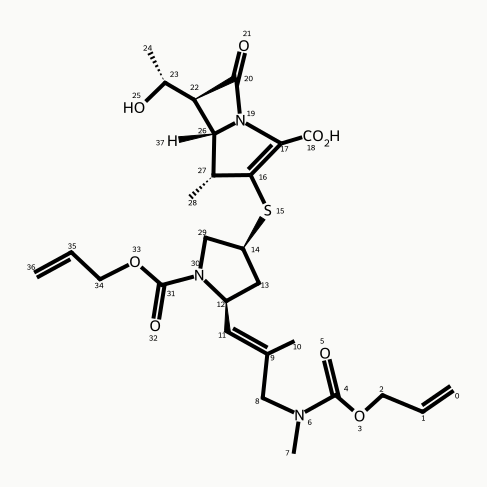 C=CCOC(=O)N(C)C/C(C)=C/[C@@H]1C[C@H](SC2=C(C(=O)O)N3C(=O)[C@H]([C@@H](C)O)[C@H]3[C@H]2C)CN1C(=O)OCC=C